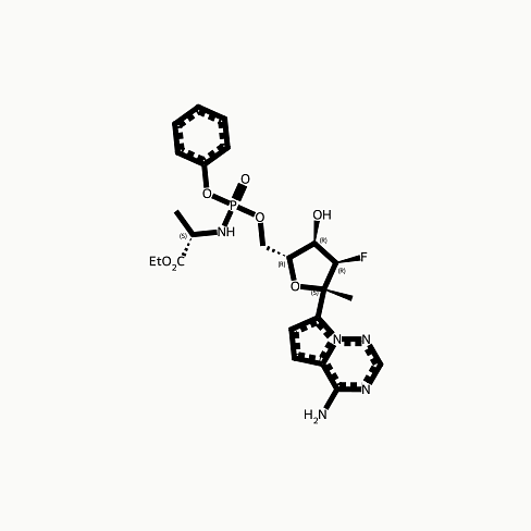 CCOC(=O)[C@H](C)NP(=O)(OC[C@H]1O[C@@](C)(c2ccc3c(N)ncnn23)[C@H](F)[C@@H]1O)Oc1ccccc1